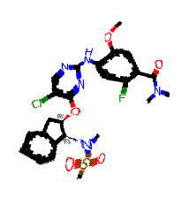 COc1cc(C(=O)N(C)C)c(F)cc1Nc1ncc(Cl)c(O[C@@H]2Cc3ccccc3[C@H]2N(C)S(C)(=O)=O)n1